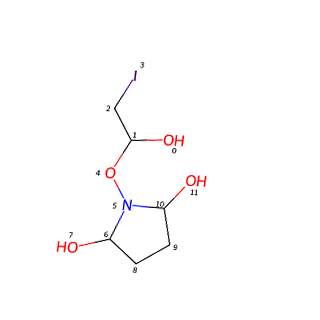 OC(CI)ON1C(O)CCC1O